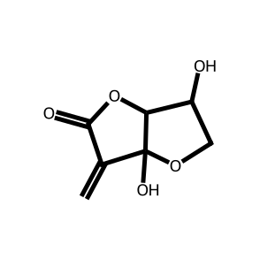 C=C1C(=O)OC2C(O)COC12O